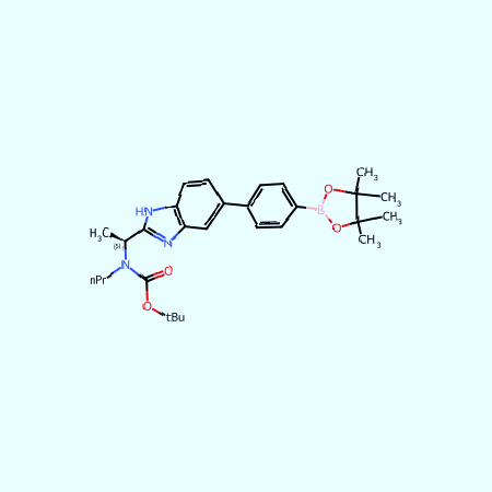 CCCN(C(=O)OC(C)(C)C)[C@@H](C)c1nc2cc(-c3ccc(B4OC(C)(C)C(C)(C)O4)cc3)ccc2[nH]1